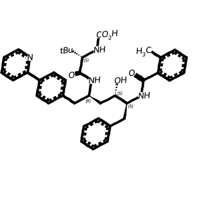 Cc1ccccc1C(=O)N[C@@H](Cc1ccccc1)[C@@H](O)C[C@@H](Cc1ccc(-c2ccccn2)cc1)NC(=O)[C@@H](NC(=O)O)C(C)(C)C